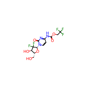 O=C(Nc1ccn([C@@H]2O[C@H](CO)[C@@H](O)C2(F)F)c(=O)n1)OCC(F)(F)F